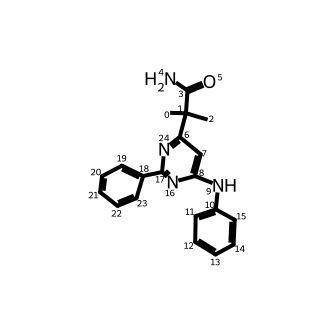 CC(C)(C(N)=O)c1cc(Nc2ccccc2)nc(-c2ccccc2)n1